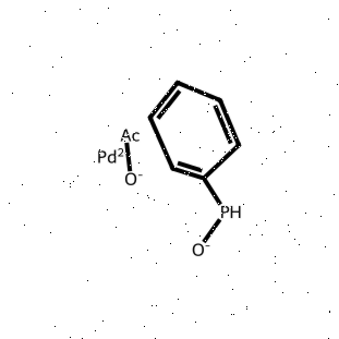 CC(=O)[O-].[O-]Pc1ccccc1.[Pd+2]